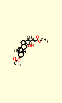 COC(=O)CCC[C@@H](C)C1CCC2C3=CC=C4C[C@@H](OC(C)=O)CC[C@]4(C)[C@H]3C[C@H](O)C21C